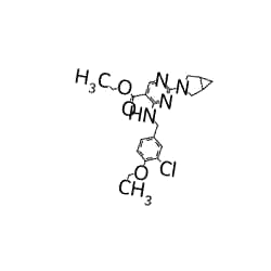 CCOC(=O)c1cnc(N2CC3CC3C2)nc1NCc1ccc(OCC)c(Cl)c1